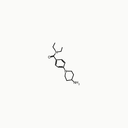 CCN(CC)C(=O)c1ccc(N2CCC(N)CC2)cc1